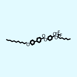 CCCCCCCCCCCOc1ccc(-c2ccc(C(=O)Oc3ccc(C(=O)OC(CCCCCC)C(F)(F)F)cc3)cc2)cc1